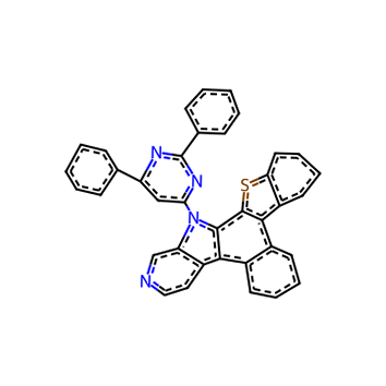 c1ccc(-c2cc(-n3c4cnccc4c4c5ccccc5c5c6ccccc6sc5c43)nc(-c3ccccc3)n2)cc1